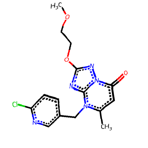 COCCOc1nc2n(Cc3ccc(Cl)nc3)c(C)cc(=O)n2n1